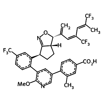 C=C(/C=C(\C=C(/C)C(F)(F)F)C(F)(F)F)[C@H]1ON=C2[C@H](c3cc(C(F)(F)F)ccc3-c3cc(-c4ccc(C(=O)O)cc4C)cnc3OC)CC[C@H]21